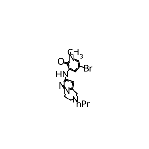 CCCN1CCn2nc(Nc3cc(Br)cn(C)c3=O)cc2C1